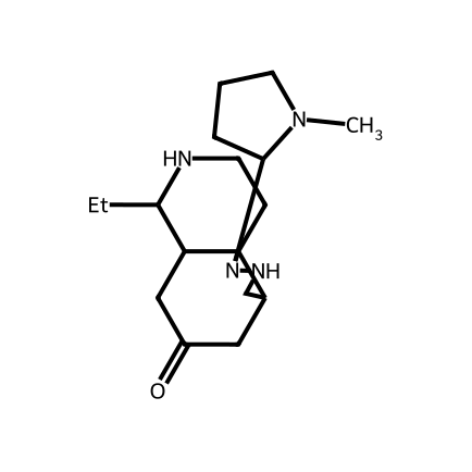 CCC1NCCC23C(CNN2C2CCCN2C)CC(=O)CC13